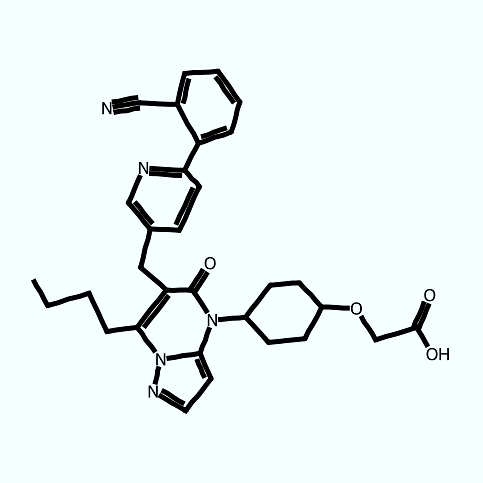 CCCCc1c(Cc2ccc(-c3ccccc3C#N)nc2)c(=O)n(C2CCC(OCC(=O)O)CC2)c2ccnn12